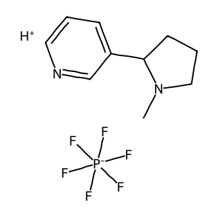 CN1CCCC1c1cccnc1.F[P-](F)(F)(F)(F)F.[H+]